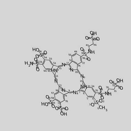 CS(=O)(=O)c1cc2c3nc4nc(nc5[nH]c(nc6nc(nc([nH]3)c2cc1S(=O)(=O)NCCS(=O)(=O)O)-c1cc(S(=O)(=O)NCCS(=O)(=O)O)ccc1-6)c1cc(S(=O)(=O)O)c(S(N)(=O)=O)cc51)-c1cc(S(=O)(=O)O)c(S(=O)(=O)O)cc1-4